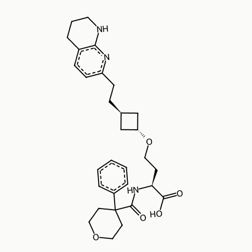 O=C(O)[C@H](CCO[C@H]1C[C@H](CCc2ccc3c(n2)NCCC3)C1)NC(=O)C1(c2ccccc2)CCOCC1